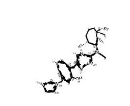 CCC[C@]1(C)CCC[C@@H](F)[C@H](N(C)c2ncc(-c3cnc(-n4ccnc4)cc3O)nn2)C1